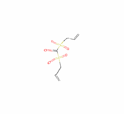 C=CCS(=O)(=O)C(=O)S(=O)(=O)CC=C